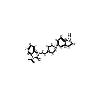 C=C(C)n1c(=O)n(CCN2CCN(c3ccc4[nH]ccc4c3)CC2)c2ccccc21